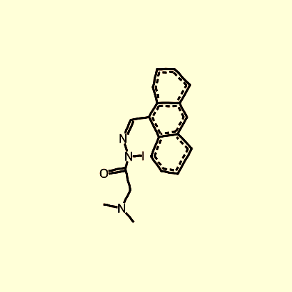 CN(C)CC(=O)N(I)/N=C\c1c2ccccc2cc2ccccc12